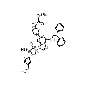 CC(C)(C)OC(=O)N[C@@H]1CCN(c2nc(NCC(c3ccccc3)c3ccccc3)c3ncn([C@@H]4C[C@H](n5cc(CO)cn5)[C@@H](O)[C@H]4O)c3n2)C1